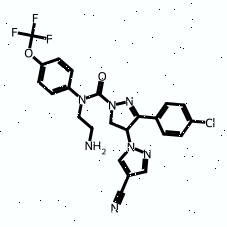 N#Cc1cnn(C2CN(C(=O)N(CCN)c3ccc(OC(F)(F)F)cc3)N=C2c2ccc(Cl)cc2)c1